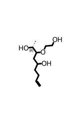 C=CCCC(O)CC(OCCO)[C@@H](C)O